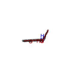 CCCCCCCCCCCCCCCC[C@@H](CO)NC(=O)CCCCCCCCCCCCCCCC(=O)CCCCCCCCCCC